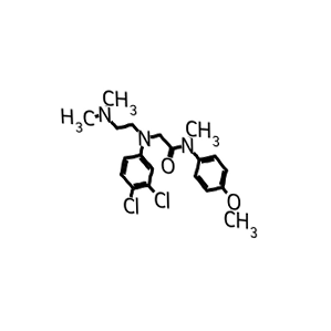 COc1ccc(N(C)C(=O)CN(CCN(C)C)c2ccc(Cl)c(Cl)c2)cc1